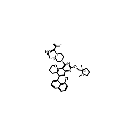 C=C(F)C(=O)N1CCN(c2nc(OC[C@]3(C)CCCN3C)nc3cc(-c4cccc5cccc(Cl)c45)c4c(c23)OCCC4)C[C@@H]1CC#N